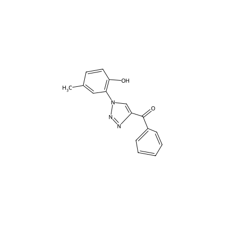 Cc1ccc(O)c(-n2cc(C(=O)c3ccccc3)nn2)c1